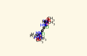 CCC(C)N(C(=O)[C@H](C)NC(=O)OC)[C@@H](CC)C1NC(Cl)=C(c2ccc(-c3ccc(-c4[nH]c([C@@H]5C[C@H]6C[C@H]6N5C(=O)[C@H](C)NC(=O)OC)nc4Cl)cc3)cc2)N1